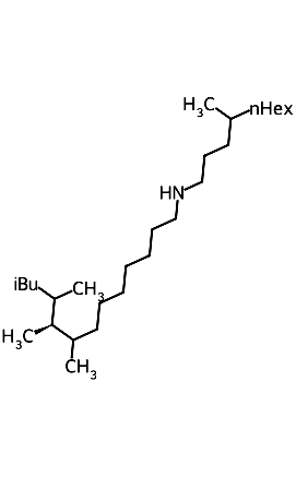 CCCCCCC(C)CCCNCCCCCCCC(C)[C@@H](C)C(C)C(C)CC